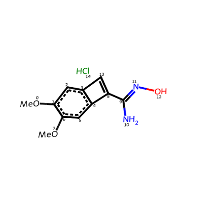 COc1cc2c(cc1OC)C(C(N)=NO)=C2.Cl